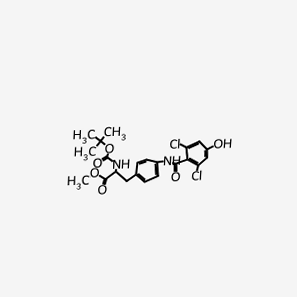 COC(=O)C(Cc1ccc(NC(=O)c2c(Cl)cc(O)cc2Cl)cc1)NC(=O)OC(C)(C)C